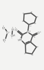 CCO.CCOCC.O=c1[nH]c2c(c(=O)n1C1CCCCC1)CCC2